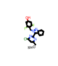 COCc1cc(Cl)nc(-c2c3ccccc3nn2Cc2c(F)cc(O)cc2F)n1